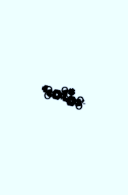 CC(C)(C)OC(=O)N1CCC(N(Cc2ccc([N+](=O)[O-])cc2)C(=O)OC(C)(C)C)CC1